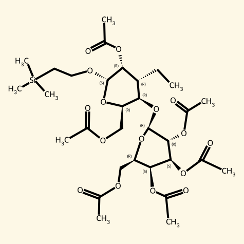 CC[C@@H]1[C@@H](O[C@@H]2O[C@H](COC(C)=O)[C@H](OC(C)=O)[C@H](OC(C)=O)[C@H]2OC(C)=O)[C@@H](COC(C)=O)O[C@H](OCC[Si](C)(C)C)[C@@H]1OC(C)=O